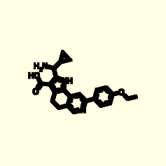 CCOc1ccc(-c2cc3c(cn2)CCc2c-3[nH]c(C(N)C3CC3)c2C(=O)O)cc1